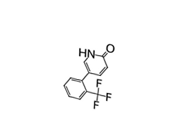 O=c1ccc(-c2ccccc2C(F)(F)F)c[nH]1